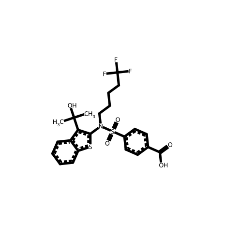 CC(C)(O)c1c(N(CCCCC(F)(F)F)S(=O)(=O)c2ccc(C(=O)O)cc2)sc2ccccc12